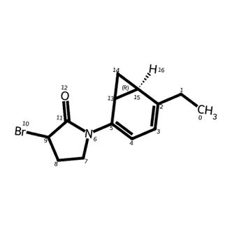 CCC1=CC=C(N2CCC(Br)C2=O)C2C[C@@H]12